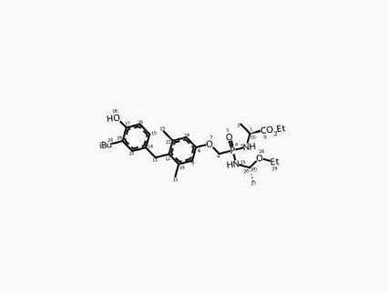 CCOC(=O)[C@H](C)NP(=O)(COc1cc(C)c(Cc2ccc(O)c(C(C)CC)c2)c(C)c1)N[C@@H](C)OCC